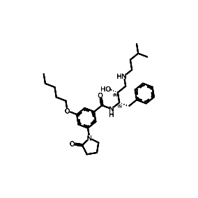 CCCCCOc1cc(C(=O)N[C@@H](Cc2ccccc2)[C@H](O)CNCCC(C)C)cc(N2CCCC2=O)c1